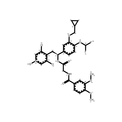 COc1ccc(C(=O)NCC(=O)O[C@@H](Cc2c(Cl)c[n+]([O-])cc2Cl)c2ccc(OC(F)F)c(OCC3CC3)c2)cc1OC